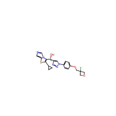 O[C@@H](c1cn(-c2ccc(OCC3(F)COC3)cc2)nn1)c1c(C2CC2)sc2cncn12